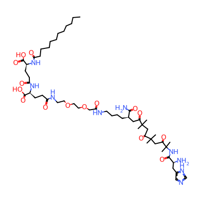 CCCCCCCCCCCC(=O)N[C@@H](CCC(=O)N[C@@H](CCC(=O)NCCOCCOCC(=O)NCCCC[C@H](CC(=O)C(C)(C)CC(=O)C(C)(C)CC(=O)C(C)(C)NC(=O)[C@@H](N)Cc1cnc[nH]1)C(N)=O)C(=O)O)C(=O)O